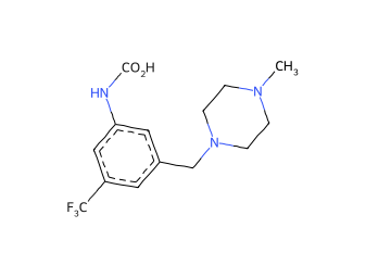 CN1CCN(Cc2cc(NC(=O)O)cc(C(F)(F)F)c2)CC1